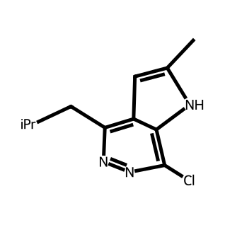 Cc1cc2c(CC(C)C)nnc(Cl)c2[nH]1